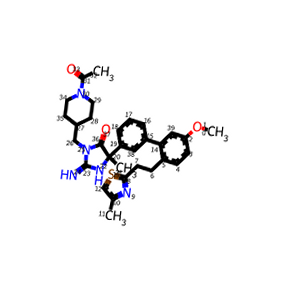 COc1ccc(CCc2nc(C)cs2)c(-c2cccc(C3(C)NC(=N)N(CC4CCN(C(C)=O)CC4)C3=O)c2)c1